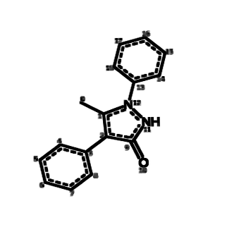 Cc1c(-c2ccccc2)c(=O)[nH]n1-c1ccccc1